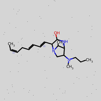 C/C=C\CC=C/C=C/C1C(O)NC2C(N(C)CCC)CN1C2C